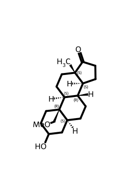 COC[C@]12CCC(O)C[C@@H]1CC[C@@H]1[C@@H]2CC[C@]2(C)C(=O)CC[C@@H]12